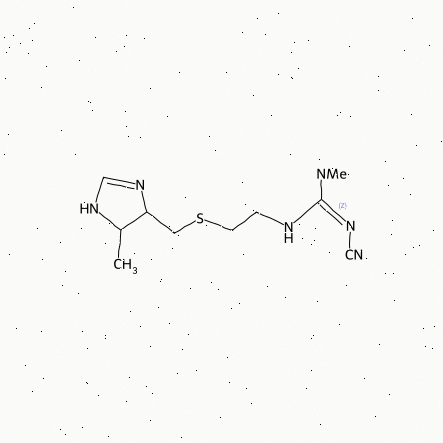 CN/C(=N/C#N)NCCSCC1N=CNC1C